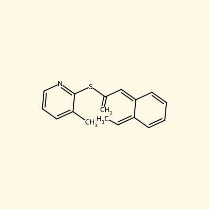 C=C(/C=c1/cccc/c1=C/C)Sc1ncccc1C